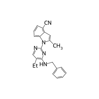 CCc1cnc(-n2c(C)cc3c(C#N)cccc32)nc1NCc1ccccc1